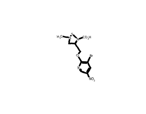 CN1CC(COc2ncc([N+](=O)[O-])cc2Br)N(C(=O)O)S1